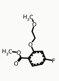 COCCOc1cc(F)ccc1C(=O)OC